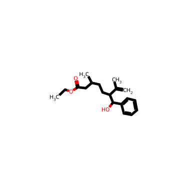 C=C(C)C(CCC(C)CC(=O)OCC)C(O)c1ccccc1